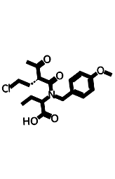 CCC(C(=O)O)N(Cc1ccc(OC)cc1)C(=O)[C@H](CCCl)C(C)=O